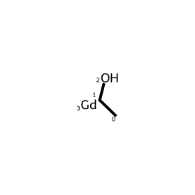 CCO.[Gd]